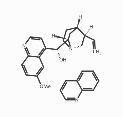 C=C[C@H]1C[N@]2CC[C@H]1C[C@H]2[C@H](O)c1ccnc2ccc(OC)cc12.c1ccc2ncccc2c1